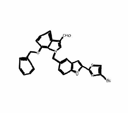 CC(C)(C)c1csc(-c2cc3cc(Cn4cc(C=O)c5cccc(OCc6ccccc6)c54)ccc3o2)n1